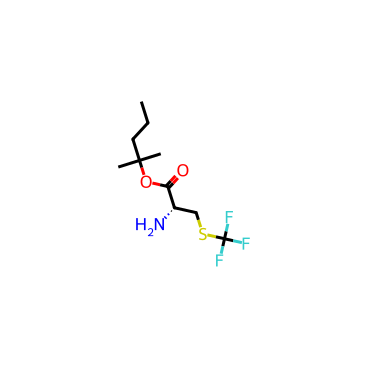 CCCC(C)(C)OC(=O)[C@@H](N)CSC(F)(F)F